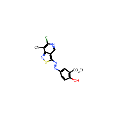 [C-]#[N+]c1c(Cl)ncc2c(/N=N/c3ccc(O)c(C(=O)OCC)c3)snc12